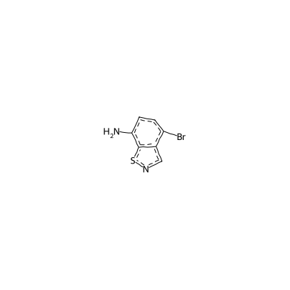 Nc1ccc(Br)c2cnsc12